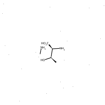 CN.C[C@@H](O)[C@H](N)C(=O)O